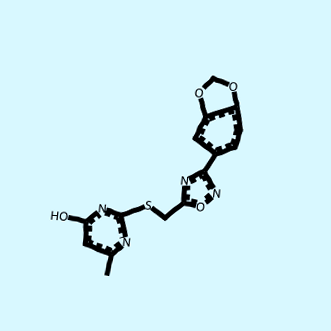 Cc1cc(O)nc(SCc2nc(-c3ccc4c(c3)OCO4)no2)n1